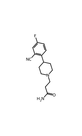 N#Cc1cc(F)ccc1C1CCN(CCC(N)=O)CC1